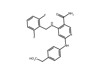 NC(=O)c1cnc(Nc2ccc(CC(=O)O)cc2)cc1NCc1c(F)cccc1F